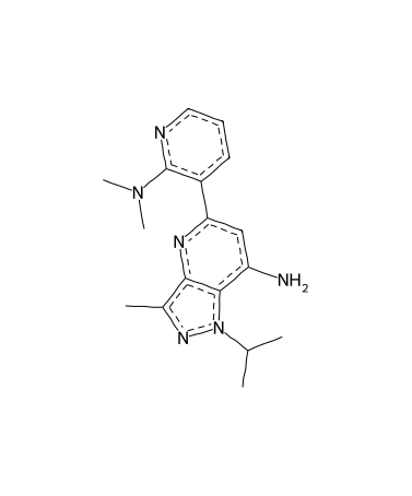 Cc1nn(C(C)C)c2c(N)cc(-c3cccnc3N(C)C)nc12